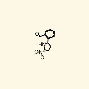 O=Cc1ccccc1C1CCC([N+](=O)[O-])N1